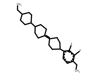 CCc1ccc(C2CCC(=C3CCC(C4CCC(CC)CC4)CC3)CC2)c(F)c1F